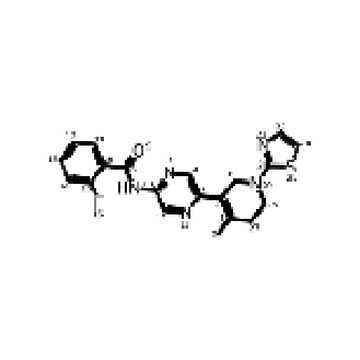 CC1=C(c2cnc(NC(=O)c3ccccc3F)cn2)CN(c2nccs2)CC1